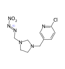 O=[N+]([O-])/N=N/CN1CCN(Cc2ccc(Cl)nc2)C1